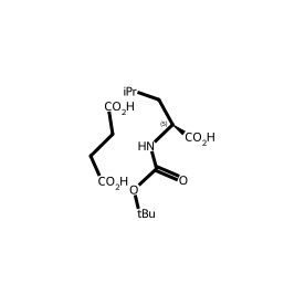 CC(C)C[C@H](NC(=O)OC(C)(C)C)C(=O)O.O=C(O)CCC(=O)O